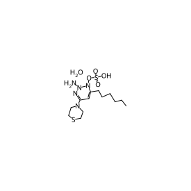 CCCCCCC1=CC(N2CCSCC2)=NN(N)N1OS(=O)(=O)O.O